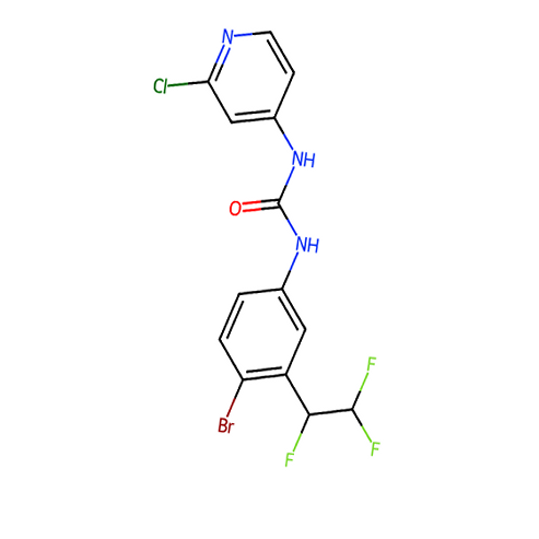 O=C(Nc1ccnc(Cl)c1)Nc1ccc(Br)c(C(F)C(F)F)c1